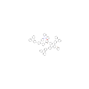 c1cc(-c2ccc(-c3ccc4c5ccccc5c5ccccc5c4c3)cc2-c2ccc(-n3c4ccccc4c4ccccc43)cc2)cc(-c2cccc3c2sc2c(-c4cc(-c5ccc6c7ccccc7c7ccccc7c6c5)ccc4-c4cc(-c5ccc6c7ccccc7c7ccccc7c6c5)c5sc6ccccc6c5c4)cccc23)c1